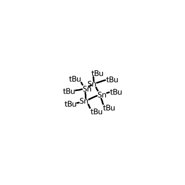 C[C](C)(C)[Sn]1([C](C)(C)C)[Sn]([C](C)(C)C)([C](C)(C)C)[Sn]([C](C)(C)C)([C](C)(C)C)[Sn]1([C](C)(C)C)[C](C)(C)C